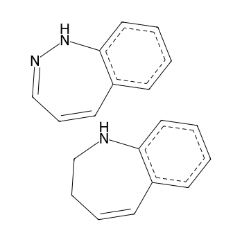 C1=Cc2ccccc2NCC1.C1=Cc2ccccc2NN=C1